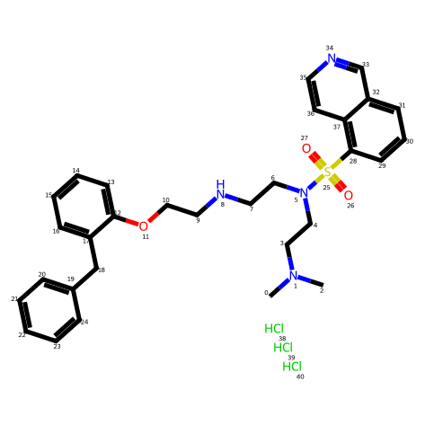 CN(C)CCN(CCNCCOc1ccccc1Cc1ccccc1)S(=O)(=O)c1cccc2cnccc12.Cl.Cl.Cl